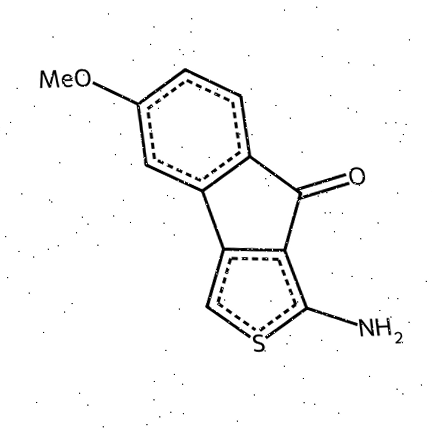 COc1ccc2c(c1)-c1csc(N)c1C2=O